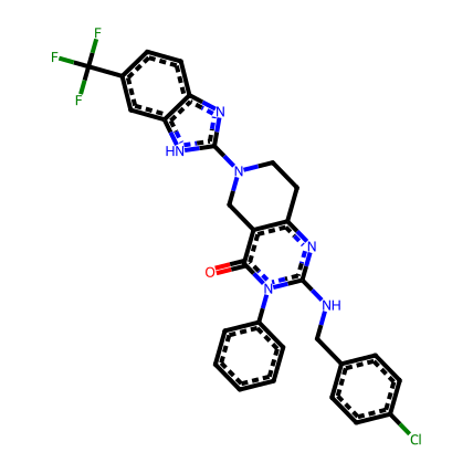 O=c1c2c(nc(NCc3ccc(Cl)cc3)n1-c1ccccc1)CCN(c1nc3ccc(C(F)(F)F)cc3[nH]1)C2